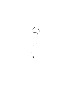 C#CCOCCOCc1ccccc1